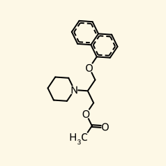 CC(=O)OCC(COc1cccc2ccccc12)N1CCCCC1